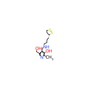 Cc1ncc(CO)c(CNCCCC[C@@H]2CCSS2)c1O